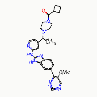 COc1cncnc1-c1ccc2nc(Nc3cc(C(C)N4CCN(C(=O)C5CCC5)CC4)ccn3)[nH]c2c1